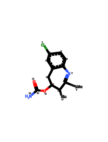 CSC1=Nc2ccc(Cl)cc2CC(OC(N)=O)C1C(C)(C)C